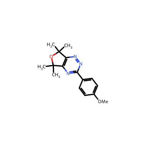 COc1ccc(-c2nnc3c(n2)C(C)(C)OC3(C)C)cc1